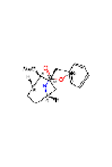 CO[C@H]1[C@@H](Cc2ccccc2)C[C@@H]2CC[C@H]1N2C(=O)OC(C)(C)C